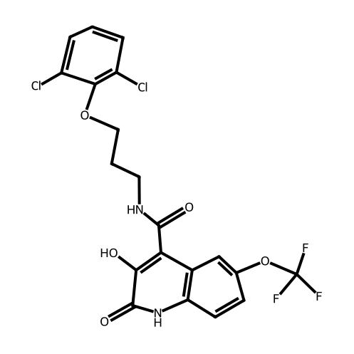 O=C(NCCCOc1c(Cl)cccc1Cl)c1c(O)c(=O)[nH]c2ccc(OC(F)(F)F)cc12